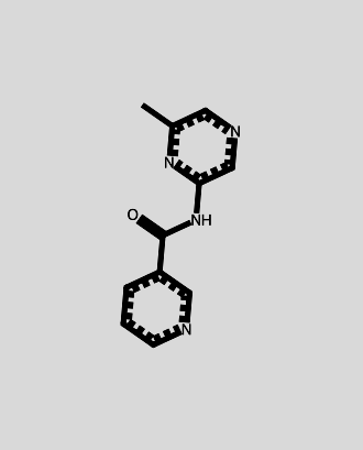 Cc1cncc(NC(=O)c2cccnc2)n1